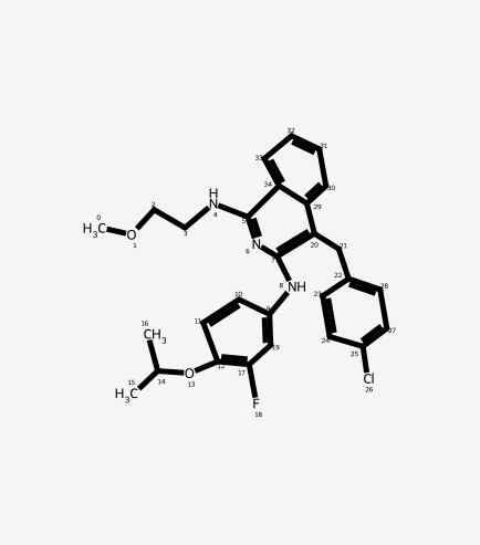 COCCNc1nc(Nc2ccc(OC(C)C)c(F)c2)c(Cc2ccc(Cl)cc2)c2ccccc12